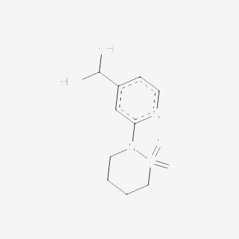 CC(C)c1ccnc(N2CCCCS2(=O)=O)c1